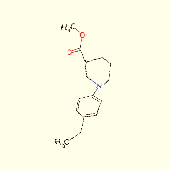 CCc1ccc(N2CCCC(C(=O)OC)C2)cc1